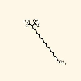 CCCCCCCCCCCCCCCCC(C(N)=O)C(=O)O